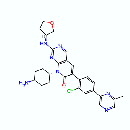 Cc1cncc(-c2ccc(-c3cc4cnc(N[C@H]5CCOC5)nc4n([C@H]4CC[C@H](N)CC4)c3=O)c(Cl)c2)n1